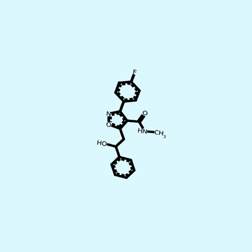 CNC(=O)c1c(-c2ccc(F)cc2)noc1CC(O)c1ccccc1